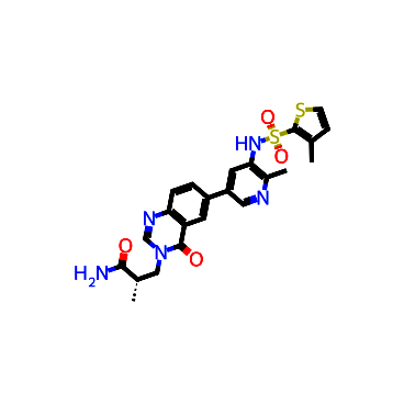 Cc1ccsc1S(=O)(=O)Nc1cc(-c2ccc3ncn(C[C@H](C)C(N)=O)c(=O)c3c2)cnc1C